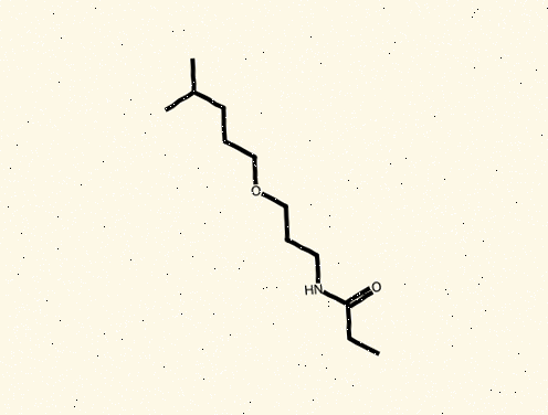 CCC(=O)NCCCOCCCC(C)C